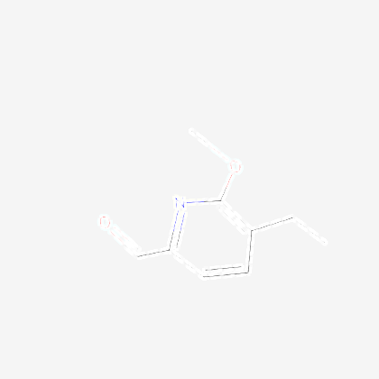 CCc1ccc(C=O)nc1OC